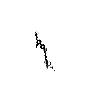 C=CC(=O)OCCCCCCOc1ccc(-c2ccc(/C=C/C=O)cc2F)cc1